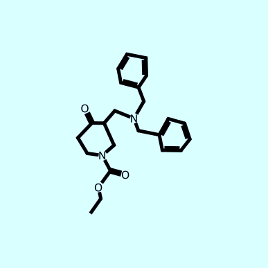 CCOC(=O)N1CCC(=O)C(CN(Cc2ccccc2)Cc2ccccc2)C1